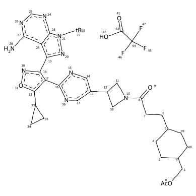 CC(=O)OCC1CCC(CCC(=O)N2CC(c3cnc(-c4c(-c5nn(C(C)(C)C)c6ncnc(N)c56)noc4C4CC4)nc3)C2)CC1.O=C(O)C(F)(F)F